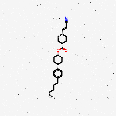 CCCCCc1ccc([C@H]2CC[C@H](OC(=O)[C@H]3CC[C@H](C=CC#N)CC3)CC2)cc1